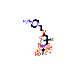 CCN(C(=O)C(CC)(CC)CC(=O)OCCN1CCN(N)CC1)C(CC)(P(=O)(O)O)P(=O)(O)O